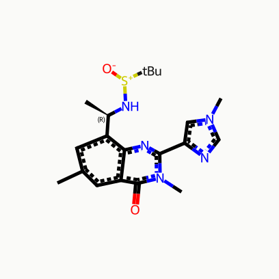 Cc1cc([C@@H](C)N[S+]([O-])C(C)(C)C)c2nc(-c3cn(C)cn3)n(C)c(=O)c2c1